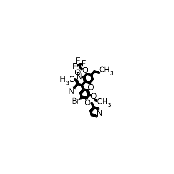 CCCC1CC(=O)C2=C(C1)N(OC(=O)C(F)(F)F)C(C)=C(C#N)C2c1cc(Br)c(OCc2cccnc2)c(OCC)c1